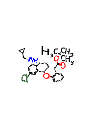 CC(C)(C)OC(=O)Cc1ccccc1OC1CCCc2c(NCC3CC3)cc(Cl)cc21